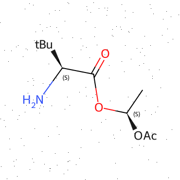 CC(=O)O[C@H](C)OC(=O)[C@@H](N)C(C)(C)C